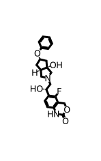 O=C1Nc2ccc([C@H](O)CN3C[C@H]4C[C@H](Oc5ccccc5)C[C@@]4(O)C3)c(F)c2CO1